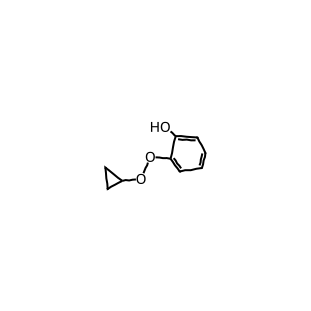 Oc1ccccc1OOC1CC1